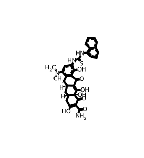 CN(C)c1cc(NC(=S)Nc2cccc3ccccc23)c(O)c2c1C[C@H]1C[C@H]3CC(O)=C(C(N)=O)C(=O)[C@@]3(O)C(O)=C1C2=O